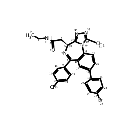 CCNC(=O)C[C@@H]1N=C(c2ccc(Cl)cc2)c2cc(-c3ccc(Br)cc3)ccc2-n2c(C)nnc21